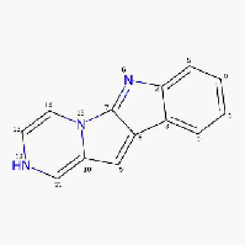 c1ccc2c(c1)nc1c2cc2c[nH]ccn21